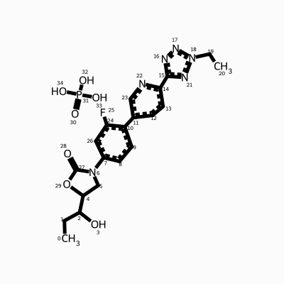 CCC(O)C1CN(c2ccc(-c3ccc(-c4nnn(CC)n4)nc3)c(F)c2)C(=O)O1.O=P(O)(O)O